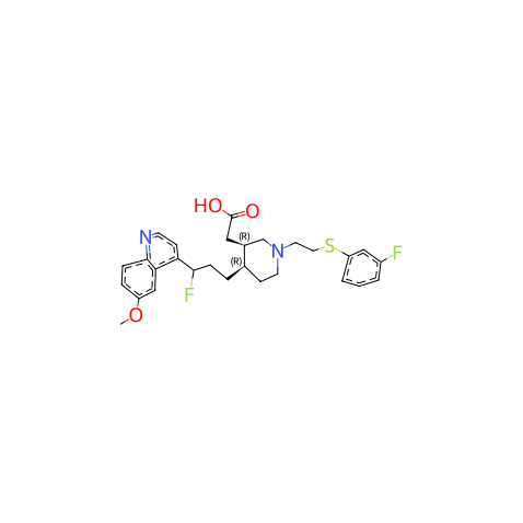 COc1ccc2nccc(C(F)CC[C@@H]3CCN(CCSc4cccc(F)c4)C[C@@H]3CC(=O)O)c2c1